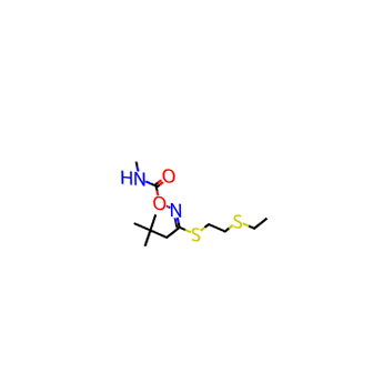 CCSCCSC(CC(C)(C)C)=NOC(=O)NC